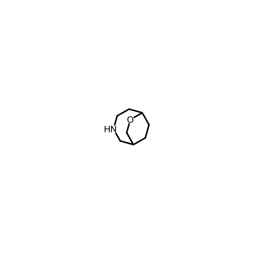 C1CC2CCC(CN1)CO2